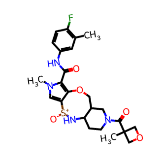 Cc1cc(NC(=O)c2c3c(cn2C)[S+]([O-])NC2CCN(C(=O)C4(C)COC4)CC2CO3)ccc1F